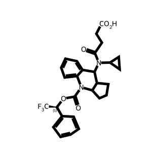 O=C(O)CCC(=O)N(C1CC1)C1c2ccccc2N(C(=O)O[C@@H](c2ccccc2)C(F)(F)F)C2CCCC21